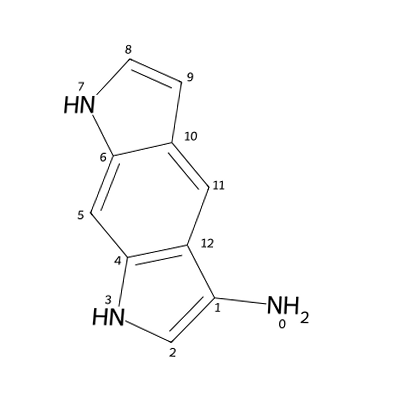 Nc1c[nH]c2cc3[nH]ccc3cc12